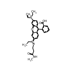 C=CN(CC)c1ccc2c(-c3ccccc3C(=O)O)c3cc/c(=[N+](/CC)OCCC(=O)NC)cc-3oc2c1